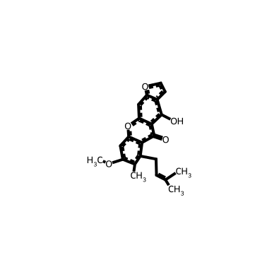 COc1cc2oc3cc4occc4c(O)c3c(=O)c2c(CC=C(C)C)c1C